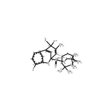 CC1=C([C@@H]2CCNOC(C)(C)C2)C2(S(=O)(=O)OCC(C)(C)C)C=C(c3ccc(F)c(c3)O2)C1(F)F